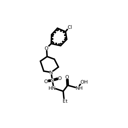 CCC(NS(=O)(=O)N1CCC(Oc2ccc(Cl)cc2)CC1)C(=O)NO